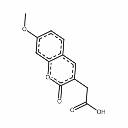 COc1ccc2cc(CC(=O)O)c(=O)oc2c1